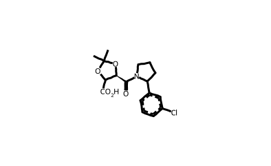 CC1(C)OC(C(=O)O)[C@H](C(=O)N2CCCC2c2cccc(Cl)c2)O1